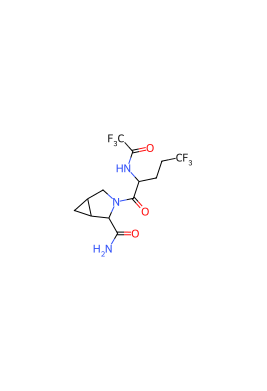 NC(=O)C1C2CC2CN1C(=O)C(CCC(F)(F)F)NC(=O)C(F)(F)F